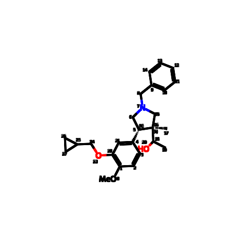 COc1ccc([C@@H]2CN(Cc3ccccc3)C[C@@]2(C)C(C)O)cc1OCC1CC1